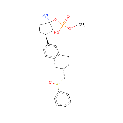 COP(=O)(O)O[C@]1(N)CC[C@H](c2ccc3c(c2)CC[C@H](C[S+]([O-])c2ccccc2)C3)C1